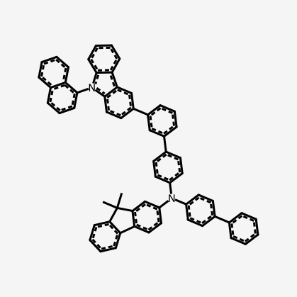 CC1(C)c2ccccc2-c2ccc(N(c3ccc(-c4ccccc4)cc3)c3ccc(-c4cccc(-c5ccc6c(c5)c5ccccc5n6-c5cccc6ccccc56)c4)cc3)cc21